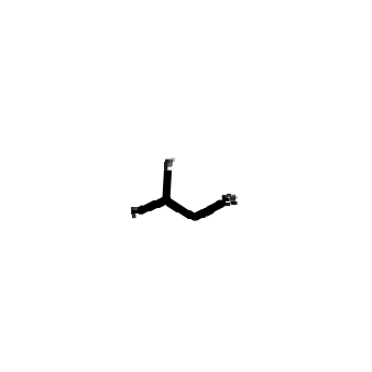 CCCC(F)F